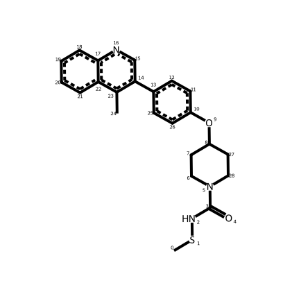 CSNC(=O)N1CCC(Oc2ccc(-c3cnc4ccccc4c3C)cc2)CC1